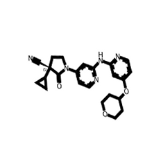 N#C[C@@]1(C2CC2)CCN(c2ccnc(Nc3cc(OC4CCOCC4)ccn3)c2)C1=O